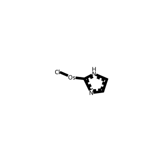 [Cl][Os][c]1ncc[nH]1